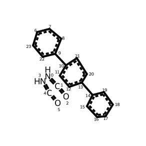 N=C=O.N=C=O.c1ccc(-c2ccc(-c3ccccc3)cc2)cc1